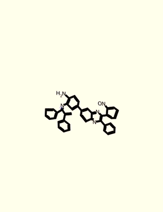 C=C(/C(=N\c1cc(-c2ccc3nc(-c4ccccc4)c(-c4ccccc4N=O)nc3c2)ccc1N)c1ccccc1)c1ccccc1